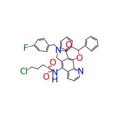 O=C1c2c(c(NS(=O)(=O)CCCCl)c3cccnc3c2OC(c2ccccc2)c2ccccc2)CN1Cc1ccc(F)cc1